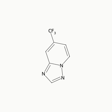 FC(F)(F)c1ccn2ncnc2c1